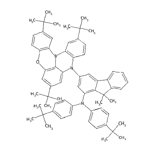 CC(C)(C)c1ccc(N(c2ccc(C(C)(C)C)cc2)c2cc(N3c4ccc(C(C)(C)C)cc4B4c5cc(C(C)(C)C)ccc5Oc5cc(C(C)(C)C)cc3c54)cc3c2C(C)(C)c2ccccc2-3)cc1